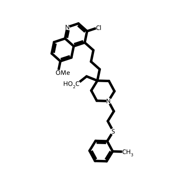 COc1ccc2ncc(Cl)c(CCCC3(CC(=O)O)CCN(CCSc4ccccc4C)CC3)c2c1